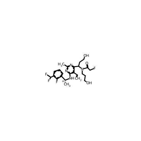 C=Cc1c(N[C@H](C)c2cccc(C(F)F)c2F)nc(C)nc1C(CCO)N(CCCO)C(=O)CF